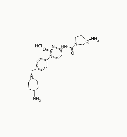 Cl.NC1CCN(Cc2ccc(-n3ccc(NC(=O)N4CC[C@@H](N)C4)nc3=O)cc2)CC1